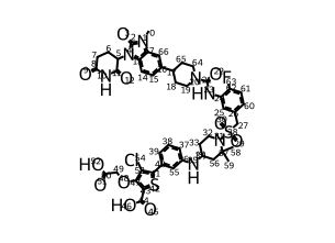 Cn1c(=O)n(C2CCC(=O)NC2=O)c2ccc(C3CCN(C(=O)Nc4cc(CS(=O)(=O)N5CC[C@H](Nc6cccc(-c7sc(C(=O)O)c(OCC(=O)O)c7Cl)c6)CC5(C)C)ccc4F)CC3)cc21